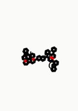 c1ccc(-c2ccccc2-c2ccccc2N(c2ccc(-c3cccc4c3oc3ccccc34)cc2)c2ccc3cc(-c4ccc5c(c4)C4(c6ccccc6-5)c5ccccc5-n5c6ccccc6c6cccc4c65)ccc3c2)cc1